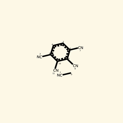 CC#N.N#Cc1ccc(C#N)c(C#N)c1C#N